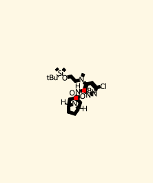 CN(CCO[Si](C)(C)C(C)(C)C)c1cc(Cl)nnc1N[C@@H]1C[C@H]2CC[C@@H](C1)N2C(=O)OC(C)(C)C